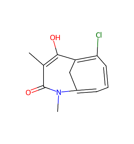 CC1=C(O)C2=C(Cl)C=CC=C(C2)N(C)C1=O